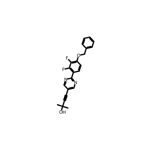 CC(C)(O)C#Cc1cnc(-c2ccc(OCc3ccccc3)c(F)c2F)nc1